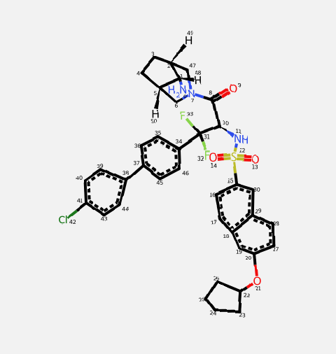 N[C@H]1[C@@H]2CC[C@H]1CN(C(=O)[C@@H](NS(=O)(=O)c1ccc3cc(OC4CCCC4)ccc3c1)C(F)(F)c1ccc(-c3ccc(Cl)cc3)cc1)C2